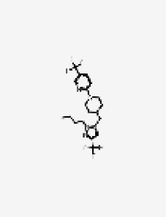 CCCCn1nc(C(F)(F)F)cc1CC1CCN(c2ccc(C(F)(F)F)cn2)CC1